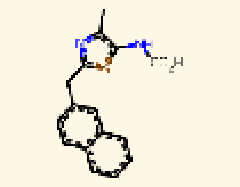 Cc1nc(Cc2ccc3ccccc3c2)sc1NC(=O)O